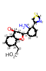 Nc1c(-c2cscn2)cccc1-c1cc(=O)c2cccc(CC(=O)O)c2o1